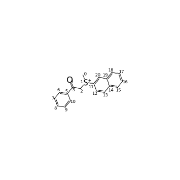 C[S+](CC(=O)c1ccccc1)c1ccc2ccccc2c1